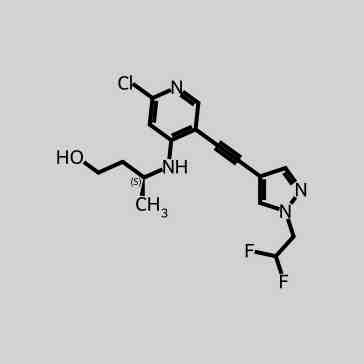 C[C@@H](CCO)Nc1cc(Cl)ncc1C#Cc1cnn(CC(F)F)c1